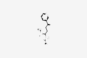 CN(N=O)C(CCC(=O)c1cccnc1)NN=O